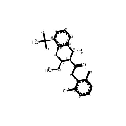 Cc1cccc(Cl)c1CC(=O)N1[C@@H](CO)Cc2c(cccc2C(C)(C)O)[C@@H]1C